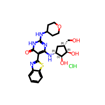 Cl.O=c1[nH]c(NC2CCOCC2)nc(N[C@@H]2C[C@H](CO)[C@@H](O)[C@H]2O)c1-c1nc2ccccc2s1